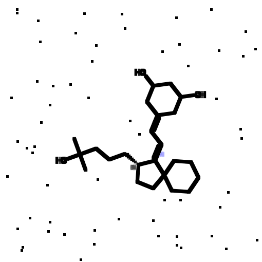 CC(C)(O)CCC[C@H]1CCC2(CCCCC2)/C1=C/C=C1CC(O)CC(O)C1